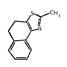 Cc1nc2c(s1)CCc1ccccc1-2